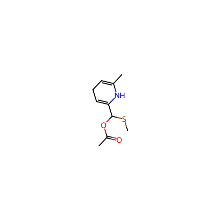 CSC(OC(C)=O)C1=CCC=C(C)N1